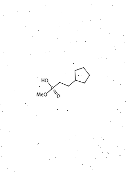 COP(=O)(O)CCC1CCCC1